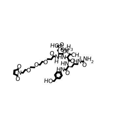 CC(C)[C@H](NC(=O)[C@H](CP(=O)(O)O)NC(=O)CCOCCOCCOCCN1C(=O)C=CC1=O)C(=O)N[C@@H](CCCNC(N)=O)C(=O)Nc1ccc(CO)cc1